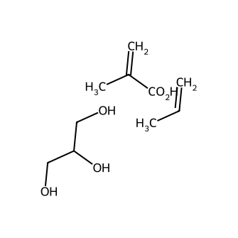 C=C(C)C(=O)O.C=CC.OCC(O)CO